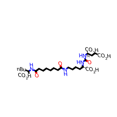 CCCCC(NC(=O)CCCCCCC(=O)NCCCC[C@H](NC(=O)N[C@@H](CCC(=O)O)C(=O)O)C(=O)O)C(=O)O